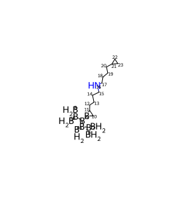 BB(B)B(B)B(B(B)B)B1CC1CCCCNCCCCC1CC1